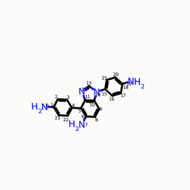 Nc1ccc(-c2c(N)ccc3c2ncn3-c2ccc(N)cc2)cc1